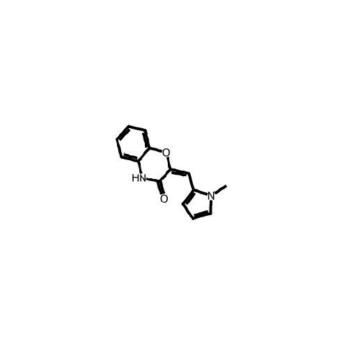 Cn1cccc1/C=C1/Oc2ccccc2NC1=O